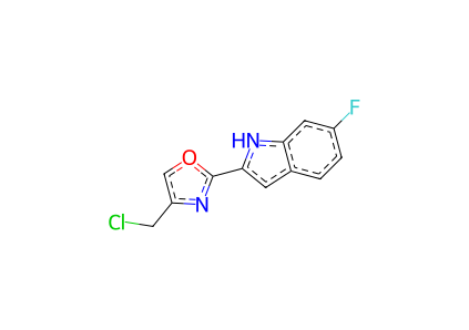 Fc1ccc2cc(-c3nc(CCl)co3)[nH]c2c1